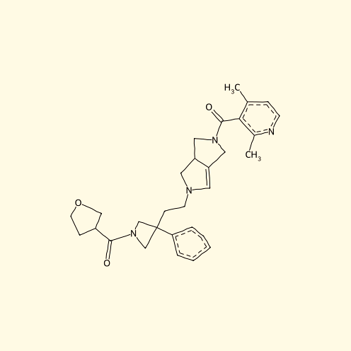 Cc1ccnc(C)c1C(=O)N1CC2=CN(CCC3(c4ccccc4)CN(C(=O)C4CCOC4)C3)CC2C1